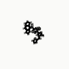 Cc1nc(S(=O)(=O)NC(=O)Nc2c3c(cc4c2CCC4)CCC3)cn1CC1CCCO1